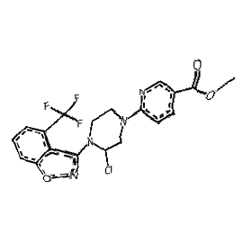 COC(=O)c1ccc(N2CCN(c3noc4cccc(C(F)(F)F)c34)C(Cl)C2)nc1